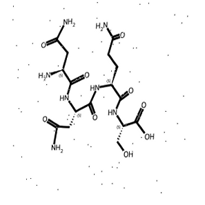 NC(=O)CC[C@H](NC(=O)[C@H](CC(N)=O)NC(=O)[C@@H](N)CC(N)=O)C(=O)N[C@@H](CO)C(=O)O